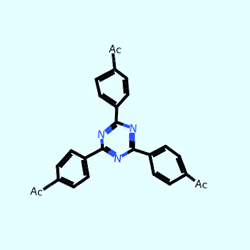 CC(=O)c1ccc(-c2nc(-c3ccc(C(C)=O)cc3)nc(-c3ccc(C(C)=O)cc3)n2)cc1